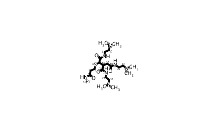 CC(C)NC(=O)CCSC(C(=O)NCCN(C)C)C(CC(=O)NCCN(C)C)C(=O)NCCN(C)C